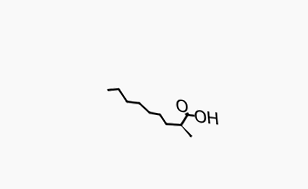 CCCCCCC[C@H](C)C(=O)O